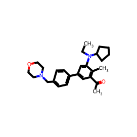 CCN(c1cc(-c2ccc(CN3CCOCC3)cc2)cc(C(C)=O)c1C)C1CCCC1